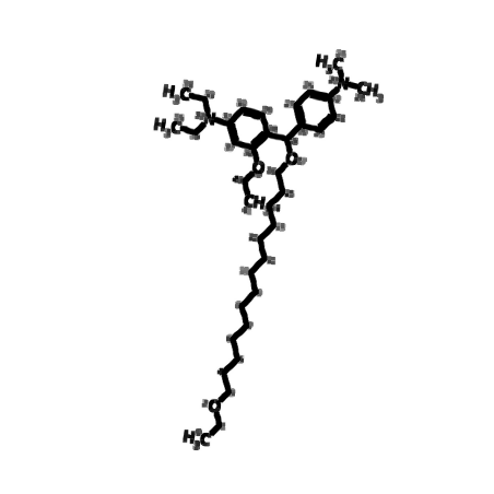 CCOCCCCCCCCCCCCCCOC(c1ccc(N(C)C)cc1)c1ccc(N(CC)CC)cc1OCC